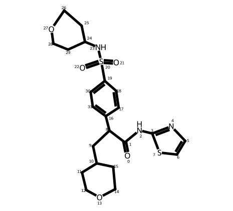 O=C(Nc1nccs1)C(CC1CCOCC1)c1ccc(S(=O)(=O)NC2CCOCC2)cc1